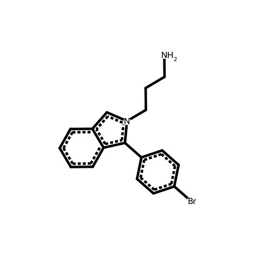 NCCCn1cc2ccccc2c1-c1ccc(Br)cc1